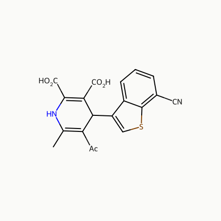 CC(=O)C1=C(C)NC(C(=O)O)=C(C(=O)O)C1c1csc2c(C#N)cccc12